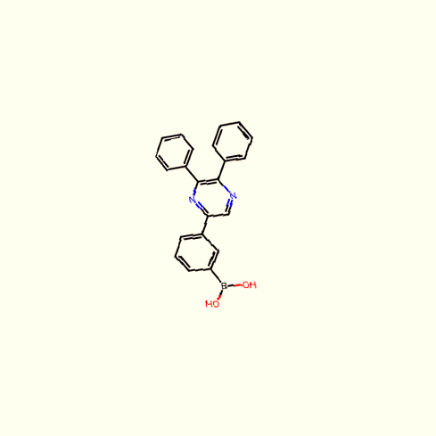 OB(O)c1cccc(-c2cnc(-c3ccccc3)c(-c3ccccc3)n2)c1